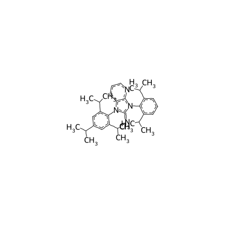 CC(C)c1cc(C(C)C)c(-n2/c(=N\Cl)n(-c3c(C(C)C)cccc3C(C)C)c3ncccc32)c(C(C)C)c1